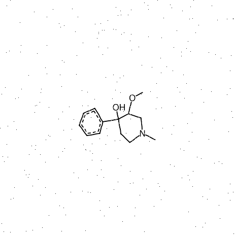 COC1CN(C)CCC1(O)c1ccccc1